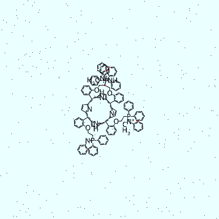 C[N+](c1ccccc1)=P(CCOc1ccccc1-c1c2nc(c(-c3ccccc3OCCP(=Nc3ccccc3)(c3ccccc3)c3ccccc3)c3ccc([nH]3)c(-c3ccccc3OCCP(c3ccccc3)(c3ccccc3)=[N+](C)c3ccccc3)c3nc(c(-c4ccccc4OCCP(=N)(c4ccccc4)c4ccccc4)c4ccc1[nH]4)C=C3)C=C2)(c1ccccc1)c1ccccc1